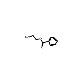 O=C(OCCO)c1cc[c]cc1